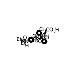 CCN(CC)C(=O)Nc1ccc(S(=O)(=O)N2C(=O)C(NCCCC(=O)O)(c3ccccc3Cl)c3cc(Cl)ccc32)cc1